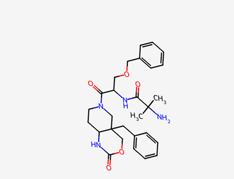 CC(C)(N)C(=O)NC(COCc1ccccc1)C(=O)N1CCC2NC(=O)OCC2(Cc2ccccc2)C1